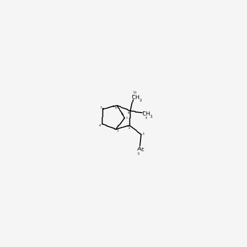 CC(=O)CC1C2CCC(C2)C1(C)C